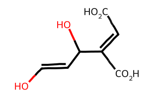 O=C(O)C=C(C(=O)O)C(O)C=CO